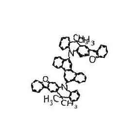 CC1(C)c2ccccc2N(c2cc3c4ccccc4c(N4c5ccccc5C(C)(C)c5cc6c(cc54)oc4ccccc46)cc3c3ccccc23)c2cc3oc4ccccc4c3cc21